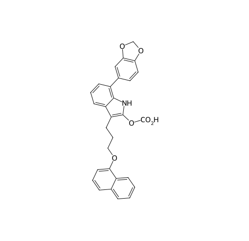 O=C(O)Oc1[nH]c2c(-c3ccc4c(c3)OCO4)cccc2c1CCCOc1cccc2ccccc12